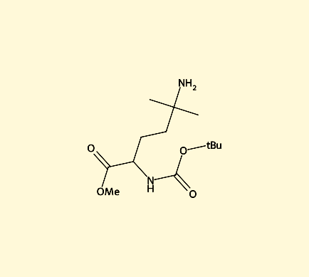 COC(=O)C(CCC(C)(C)N)NC(=O)OC(C)(C)C